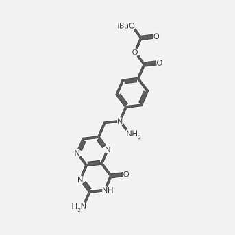 CC(C)COC(=O)OC(=O)c1ccc(N(N)Cc2cnc3nc(N)[nH]c(=O)c3n2)cc1